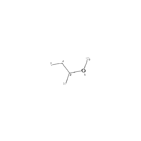 [C]OC(C)CC